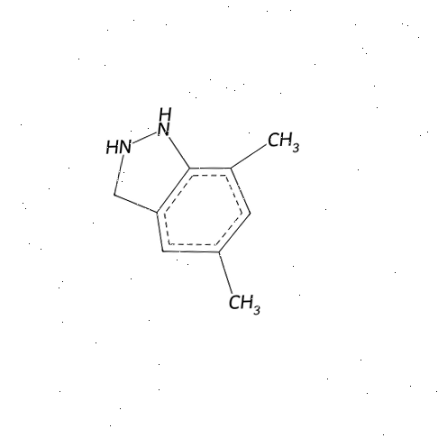 Cc1cc(C)c2c(c1)CNN2